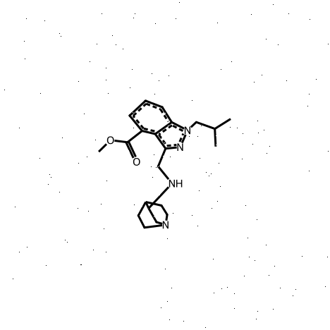 COC(=O)c1cccc2c1c(CNC1CN3CCC1CC3)nn2CC(C)C